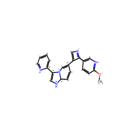 COc1ccc(C2=NC=C2C2=CN3C(c4ccccn4)=CNC3C=C2)cn1